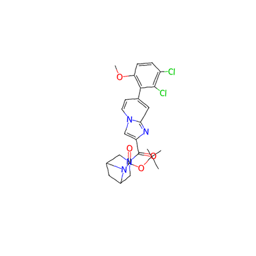 COc1ccc(Cl)c(Cl)c1-c1ccn2cc(C(=O)N3CC4CC(C3)N4C(=O)OC(C)(C)C)nc2c1